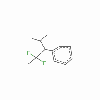 CC(C)C(c1ccccc1)C(C)(F)F